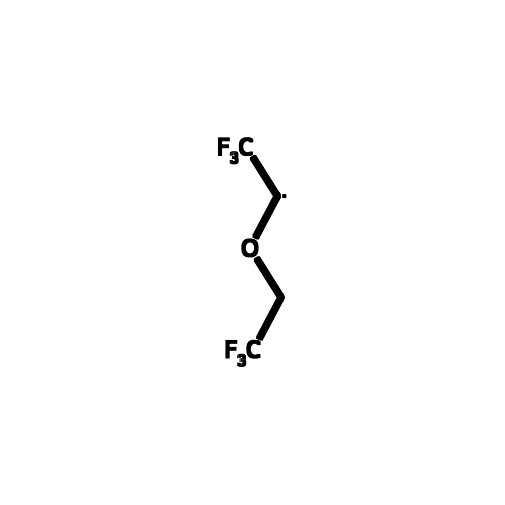 FC(F)(F)[CH]OCC(F)(F)F